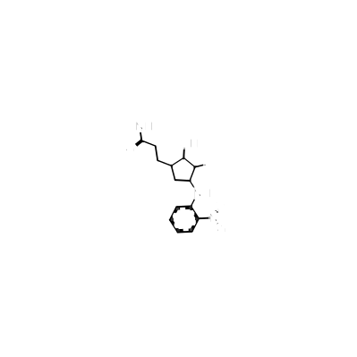 [NH]C(=O)CCC1CC(Nc2ccccc2[N+](=O)[O-])C(O)C1O